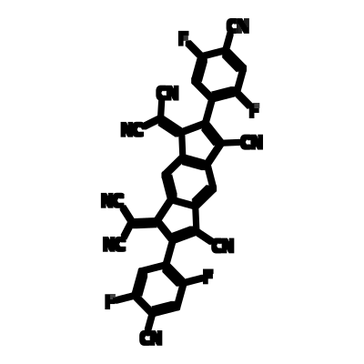 N#CC(C#N)=C1C(c2cc(F)c(C#N)cc2F)=C(C#N)c2cc3c(cc21)C(=C(C#N)C#N)C(c1cc(F)c(C#N)cc1F)=C3C#N